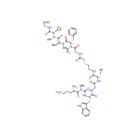 CCCC[C@@H](C(=O)N(CCC)C(C(=O)NCC=O)C1CC1)N(C)C(=O)[C@H](Cc1ccccc1)N(C)C(=O)CNC(=O)CSCCNC(=O)[C@H](CC(C)C)NC(=O)CNC(=O)[C@H](Cc1c[nH]c2ccccc12)NC(=O)N(CCCC)C(=O)[C@@H](N)CCCN